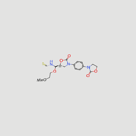 COCCOC(NC=S)[C@@H]1CN(c2ccc(N3CCOC3=O)cc2)C(=O)O1